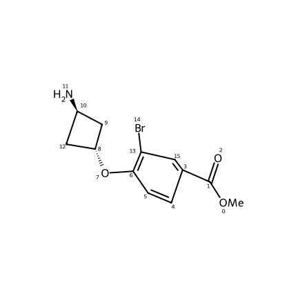 COC(=O)c1ccc(O[C@H]2C[C@H](N)C2)c(Br)c1